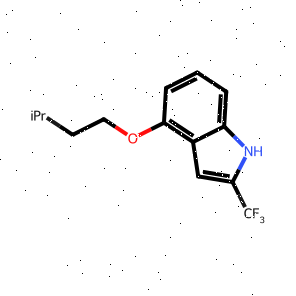 CC(C)CCOc1cccc2[nH]c(C(F)(F)F)cc12